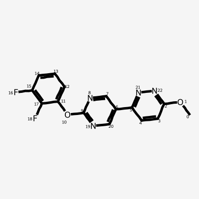 COc1ccc(-c2cnc(Oc3cccc(F)c3F)nc2)nn1